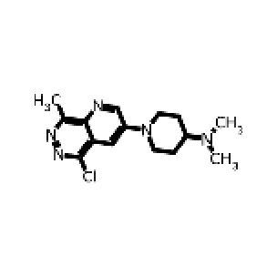 Cc1nnc(Cl)c2cc(N3CCC(N(C)C)CC3)cnc12